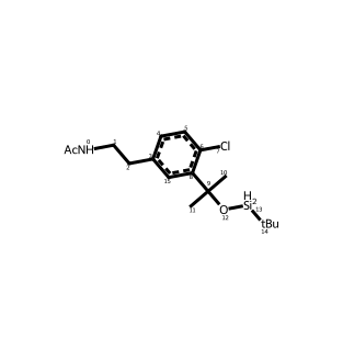 CC(=O)NCCc1ccc(Cl)c(C(C)(C)O[SiH2]C(C)(C)C)c1